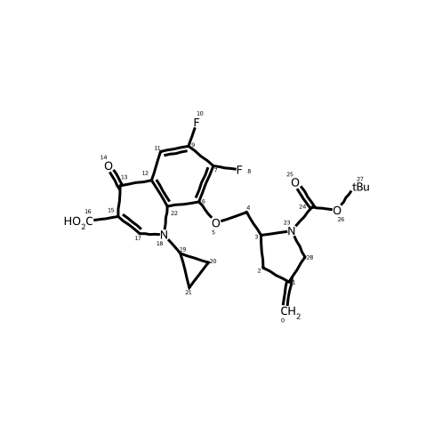 C=C1CC(COc2c(F)c(F)cc3c(=O)c(C(=O)O)cn(C4CC4)c23)N(C(=O)OC(C)(C)C)C1